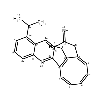 CCC1=C2\C=C/C=C\C=C1\CC(=N)c1cc3c(C(C)C)cccc3nc12